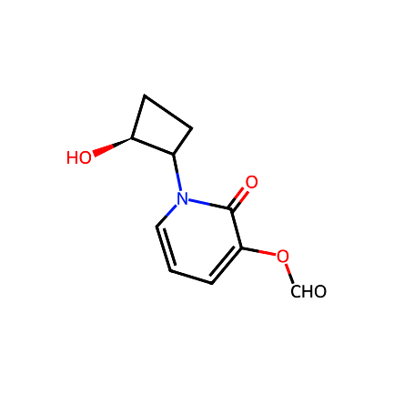 O=COc1cccn(C2CC[C@@H]2O)c1=O